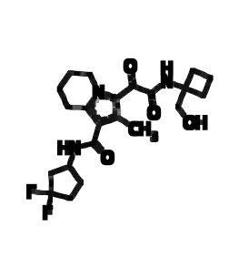 Cc1c(C(=O)NC2CCC(F)(F)C2)c2n(c1C(=O)C(=O)NC1(CO)CCC1)CCCC2